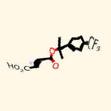 CC(C)(OC(=O)/C=C/C(=O)O)c1ccc(C(F)(F)F)cc1